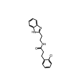 O=C(CCc1ccccc1Cl)NCCc1nc2ccccc2[nH]1